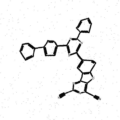 N#Cc1nc(C#N)c2oc3ccc(-c4nc(-c5ccccc5)nc(-c5ccc(-c6ccccc6)cc5)n4)cc3c2n1